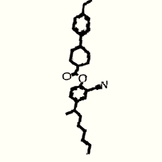 CCCCCCC(C)c1ccc(OC(=O)C2CCC(c3ccc(CC)cc3)CC2)c(C#N)c1